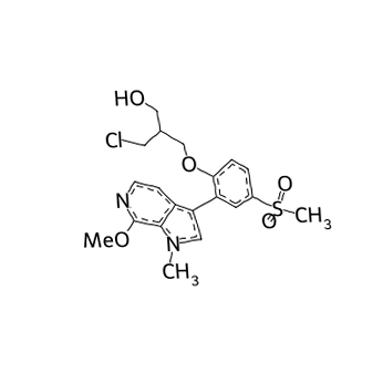 COc1nccc2c(-c3cc(S(C)(=O)=O)ccc3OCC(CO)CCl)cn(C)c12